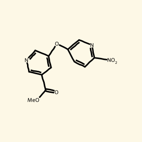 COC(=O)c1cncc(Oc2ccc([N+](=O)[O-])nc2)c1